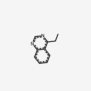 CCc1ncnc2ccccc12